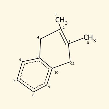 CC1=C(C)Cc2ccccc2[CH]1